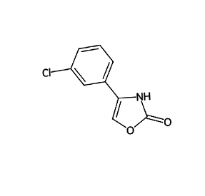 O=c1[nH]c(-c2cccc(Cl)c2)co1